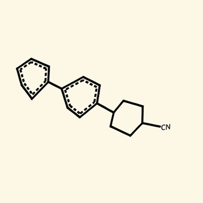 N#CC1CCC(c2ccc(-c3ccccc3)cc2)CC1